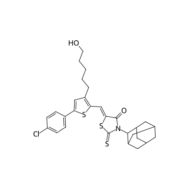 O=C1/C(=C/c2sc(-c3ccc(Cl)cc3)cc2CCCCCO)SC(=S)N1C1C2CC3CC(C2)CC1C3